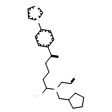 C=CCN(CC1CCCC1)C(C)CCCC(=O)c1ccc(-n2ccnc2)cc1